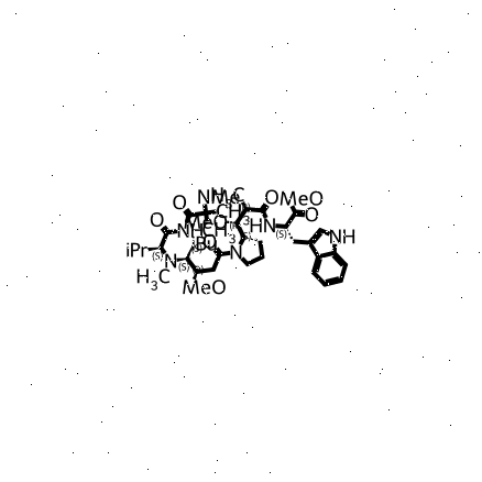 CC[C@H](C)[C@@H]([C@@H](CC(=O)N1CCC[C@H]1[C@H](OC)[C@@H](C)C(=O)N[C@@H](Cc1c[nH]c2ccccc12)C(=O)OC)OC)N(C)[C@H](C(=O)NC(=O)C(C)(C)NC)C(C)C